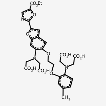 CCOC(=O)c1cnc(-c2cc3cc(OCCOc4cc(C)ccc4N(CC(=O)O)CC(=O)O)c(N(CC(=O)O)CC(=O)O)cc3o2)o1